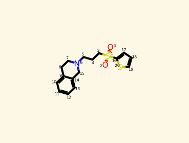 O=S(=O)(CCCN1CCc2ccccc2C1)c1cccs1